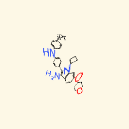 CC(C)c1ccc(Nc2ccc(-c3c(N)c4ccc(OC5CCOCC5)cc4n3C3CCC3)cc2)cc1